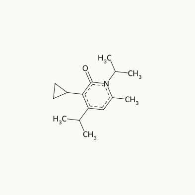 Cc1cc(C(C)C)c(C2CC2)c(=O)n1C(C)C